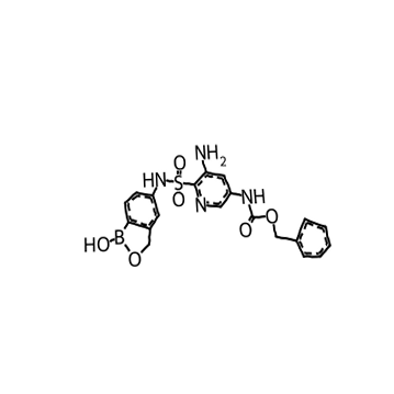 Nc1cc(NC(=O)OCc2ccccc2)cnc1S(=O)(=O)Nc1ccc2c(c1)COB2O